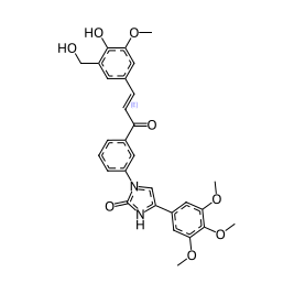 COc1cc(/C=C/C(=O)c2cccc(-n3cc(-c4cc(OC)c(OC)c(OC)c4)[nH]c3=O)c2)cc(CO)c1O